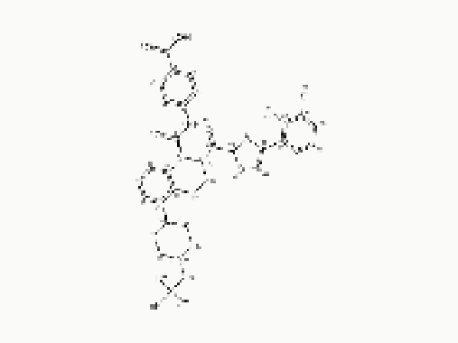 O=C(O)c1ccc(NC(=O)[C@@H]2c3cccc(N4CCN(CC(F)(F)F)CC4)c3CCN2C(=O)C2CC(c3cccc(Cl)c3F)=NO2)cc1